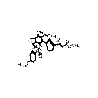 C=Cc1c(C)c2c(c(OS(=O)(=O)c3ccc(C)cc3)c1C1C=C(CCC(=O)OC)CC1)C(=O)OC2